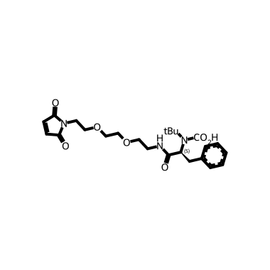 CC(C)(C)N(C(=O)O)[C@@H](Cc1ccccc1)C(=O)NCCOCCOCCN1C(=O)C=CC1=O